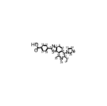 CCC(C(c1ccc2nc(-c3ccc(C(=O)O)cc3)sc2c1)n1ccnc1)N(C)CC